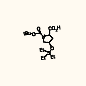 CC[Si](CC)(CC)O[C@@H]1CC(C(=O)O)N(C(=O)OC(C)(C)C)C1